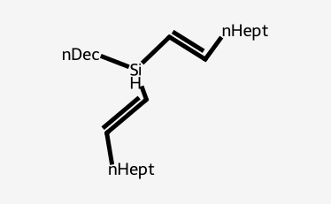 CCCCCCCC=C[SiH](C=CCCCCCCC)CCCCCCCCCC